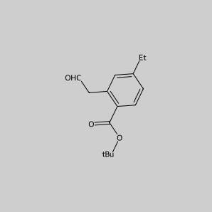 CCc1ccc(C(=O)OC(C)(C)C)c(CC=O)c1